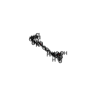 O=C(NCc1ccc(C(=O)NCCCOCCOCCOCCCNC(=S)Nc2ccc(-c3c4ccc(=O)cc-4oc4cc(O)ccc34)c(C(=O)O)c2)cc1)NC[C@H]1CN(Cc2ccc(Cl)c(Cl)c2)CCO1